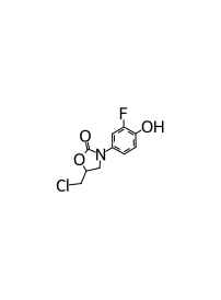 O=C1OC(CCl)CN1c1ccc(O)c(F)c1